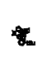 C[SiH](C)[Ti]([O]c1cccc(C(C)(C)C)c1)[C]1=C([Si](C)(C)C)C=CC1.Cl.Cl